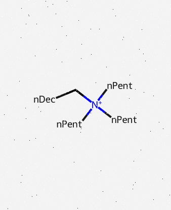 CCCCCCCCCCC[N+](CCCCC)(CCCCC)CCCCC